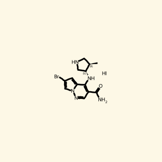 C[C@@H]1CNC[C@H]1Nc1c(C(N)=O)cnn2cc(Br)cc12.I